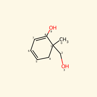 CC1(CO)CC=CC=C1O